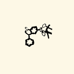 CC1(C)OB(c2ccc3c(c2)C(c2ccccc2)CS3)OC1(C)C